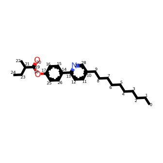 CCCCCCCCCCc1ccc(-c2ccc(OC(=O)C(C)CC)cc2)nc1